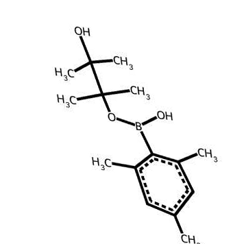 Cc1cc(C)c(B(O)OC(C)(C)C(C)(C)O)c(C)c1